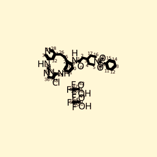 O=C(CC1CCN(S(=O)(=O)c2ccccc2)CC1)Nc1ccc2cc1CCc1cncc(c1)Nc1ncc(Cl)c(n1)N2.O=C(O)C(F)(F)F.O=C(O)C(F)(F)F